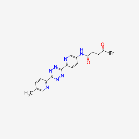 Cc1ccc(-c2nnc(-c3ccc(NC(=O)CCC(=O)C(C)C)cn3)nn2)nc1